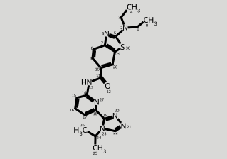 CCN(CC)c1nc2ccc(C(=O)Nc3cccc(-c4nncn4C(C)C)n3)cc2s1